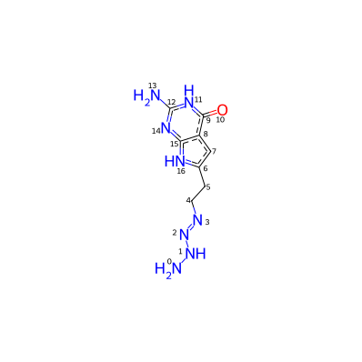 NNN=NCCc1cc2c(=O)[nH]c(N)nc2[nH]1